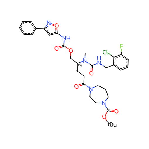 CN(C(=O)NCc1cccc(F)c1Cl)[C@@H](CCC(=O)N1CCCN(C(=O)OC(C)(C)C)CC1)COC(=O)Nc1cc(-c2ccccc2)no1